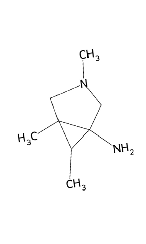 CC1C2(C)CN(C)CC12N